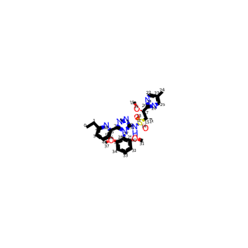 CCc1cccc(-c2nnc(NS(=O)(=O)[C@@H](C)[C@H](OC)c3ncc(C)cn3)n2-c2c(OC)cccc2OC)n1